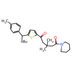 CCCCC(c1ccc(C)cc1)c1ccc(C(=O)CC(C)(C)CC(=O)N2CCCCC2)s1